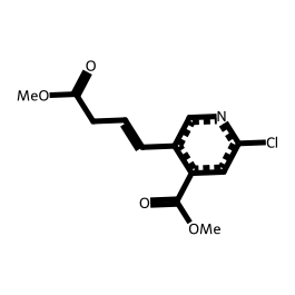 COC(=O)C/C=C/c1cnc(Cl)cc1C(=O)OC